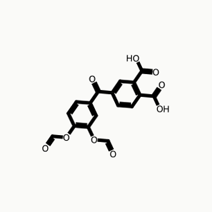 O=COc1ccc(C(=O)c2ccc(C(=O)O)c(C(=O)O)c2)cc1OC=O